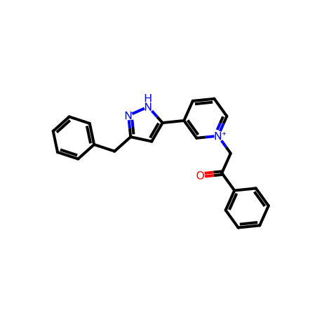 O=C(C[n+]1cccc(-c2cc(Cc3ccccc3)n[nH]2)c1)c1ccccc1